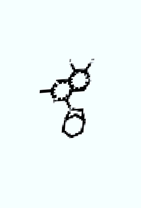 Fc1c(Cl)ncc2c(N3CC4CCCC3C4)nc(Cl)nc12